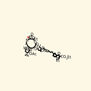 CCOC(=O)c1cn(CC)c2ccc(CCCOCCO[C@H]3[C@H](C)O[C@@H](O[C@H]4[C@H](C)[C@@H](O[C@@H]5O[C@H](C)C[C@H](N(C)C)[C@H]5OC(C)=O)[C@](C)(O)C[C@@H](C)CN(C)[C@H](C)[C@H]5OC(=O)O[C@]5(C)[C@@H](CC)OC(=O)[C@@H]4C)C[C@@]3(C)OC)cc2c1=O